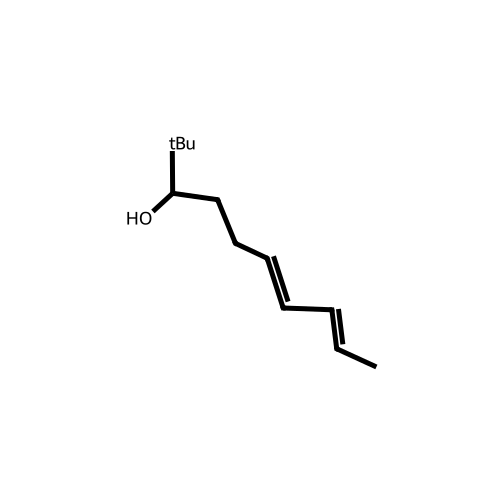 C/C=C/C=C/CCC(O)C(C)(C)C